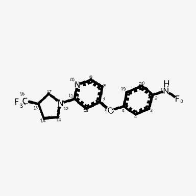 FNc1ccc(Oc2ccnc(N3CCC(C(F)(F)F)C3)c2)cc1